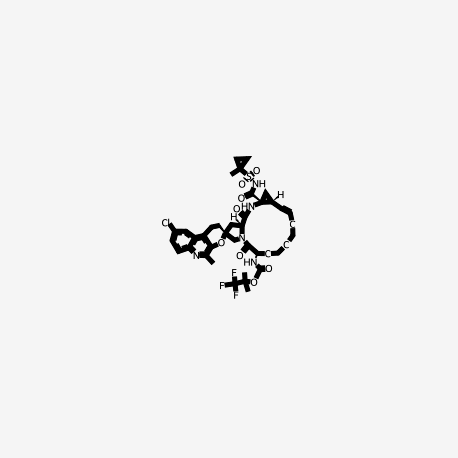 Cc1nc2ccc(Cl)cc2c2c1O[C@]1(CC2)C[C@H]2C(=O)N[C@]3(C(=O)NS(=O)(=O)C4(C)CC4)C[C@H]3/C=C\CCCCC[C@H](NC(=O)OC(C)(C)C(F)(F)F)C(=O)N2C1